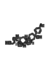 CC(=O)c1ccc(C2(O)CC[C@@]3(C)C(CC[C@H]4[C@@H]5CC[C@H](C(=O)CO)[C@@]5(C)CC[C@@H]43)C2)cc1